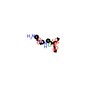 CC(C)(C)OC(=O)COc1c(C(=O)OC(C)(C)C)sc(-c2cccc(N[C@H]3CCN(S(=O)(=O)Cc4cccc(N)c4)C(C)(C)C3)c2)c1Cl